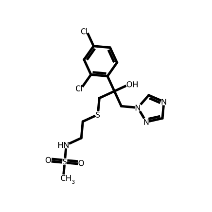 CS(=O)(=O)NCCSCC(O)(Cn1cncn1)c1ccc(Cl)cc1Cl